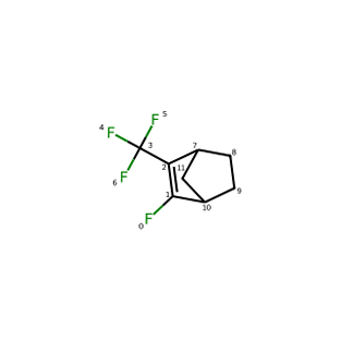 FC1=C(C(F)(F)F)C2CCC1C2